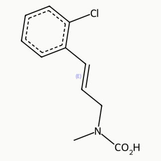 CN(C/C=C/c1ccccc1Cl)C(=O)O